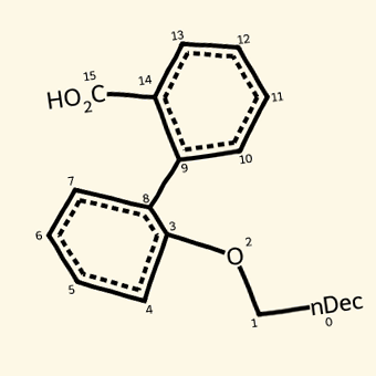 CCCCCCCCCCCOc1ccccc1-c1ccccc1C(=O)O